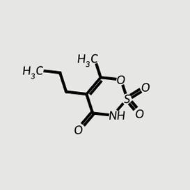 CCCC1=C(C)OS(=O)(=O)NC1=O